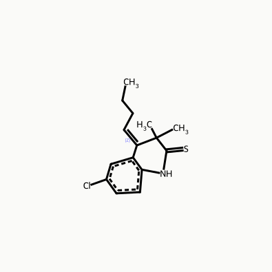 CCC/C=C1/c2cc(Cl)ccc2NC(=S)C1(C)C